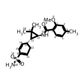 COc1cc(C)ccc1C(=O)N[C@H]1[C@H](C2C=CC(S(N)(=O)=O)=CC2)C1(C)C